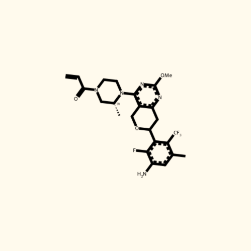 C=CC(=O)N1CCN(c2nc(OC)nc3c2COC(c2c(F)c(N)cc(C)c2C(F)(F)F)C3)[C@H](C)C1